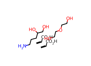 C=CC(=O)O.C=CC(=O)O.NCCCC(O)CO.OCCOCCO